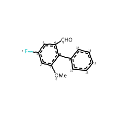 COc1cc(F)cc(C=O)c1-c1ccccc1